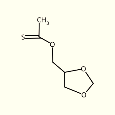 CC(=S)OCC1COCO1